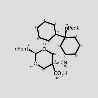 CCCCCC1(C2CCCCC2)CCCCC1.CCCCC[C@H]1OC[C@@](C#N)(C(=O)O)CO1